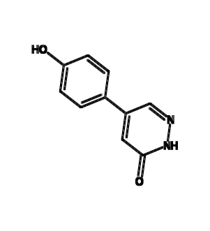 O=c1cc(-c2ccc(O)cc2)cn[nH]1